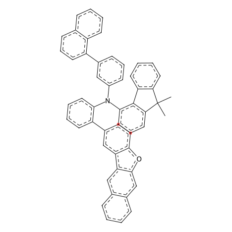 CC1(C)c2ccccc2-c2c(N(c3cccc(-c4cccc5ccccc45)c3)c3ccccc3-c3ccc4oc5cc6ccccc6cc5c4c3)cccc21